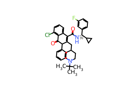 CC(C)(C)N1CCC(CC2=C(C(=O)N[C@H](c3cccc(F)c3)C3CC3)c3cccc(Cl)c3C(=O)C2c2ccccc2)CC1